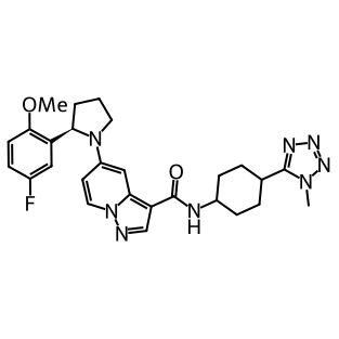 COc1ccc(F)cc1[C@H]1CCCN1c1ccn2ncc(C(=O)NC3CCC(c4nnnn4C)CC3)c2c1